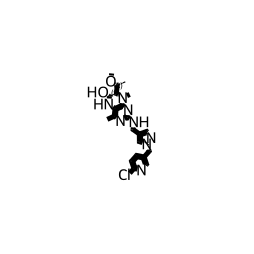 CO[C@H](C)[C@H]1C(O)Nc2c(C)nc(NCc3cnn(Cc4ccc(Cl)nc4)c3)nc2N1C